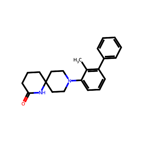 Cc1c(-c2ccccc2)cccc1N1CCC2(CCCC(=O)N2)CC1